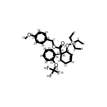 CC[Si](CC)(CC)OC1C=CCC[C@@]1(C(=O)OCc1ccc(OC)cc1)c1ccccc1OC(F)(F)F